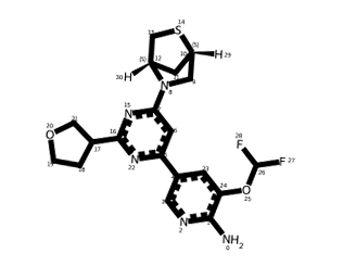 Nc1ncc(-c2cc(N3C[C@@H]4C[C@H]3CS4)nc(C3CCOC3)n2)cc1OC(F)F